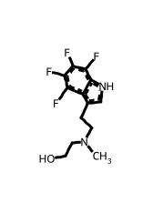 CN(CCO)CCc1c[nH]c2c(F)c(F)c(F)c(F)c12